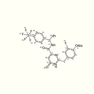 COc1ccc(Cc2nc(C(=O)NC(c3ccc(S(F)(F)(F)(F)F)cc3)C(C)C)cc(=O)[nH]2)cc1F